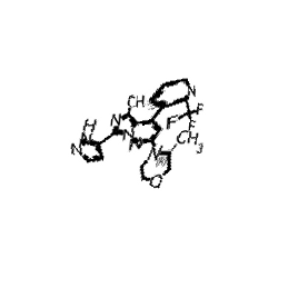 Cc1nc(-c2ccn[nH]2)n2nc(N3CCOC[C@H]3C)cc(-c3cccnc3C(F)(F)F)c12